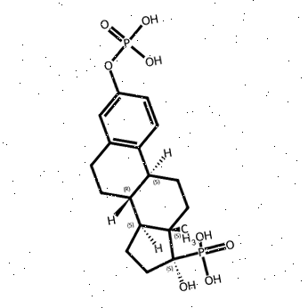 C[C@]12CC[C@@H]3c4ccc(OP(=O)(O)O)cc4CC[C@H]3[C@@H]1CC[C@]2(O)P(=O)(O)O